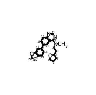 CN(CCC1CCCO1)c1ncnc2ccc(-c3ccc4c(c3)OCO4)cc12